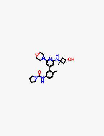 Cc1ccc(NC(=O)N2CCCC2)cc1-c1cc(N[C@]2(C)C[C@H](O)C2)nc(N2CCOCC2)c1